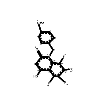 COc1ccc(Cn2c(=O)cc(O)c3c(F)c(F)c(Br)c(F)c32)cc1